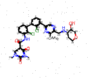 COc1nc(-c2cccc(-c3cccc(NC(=O)c4cn(C)c(=O)n(C)c4=O)c3Cl)c2Cl)cnc1CN[C@@H]1CCOC[C@@H]1O